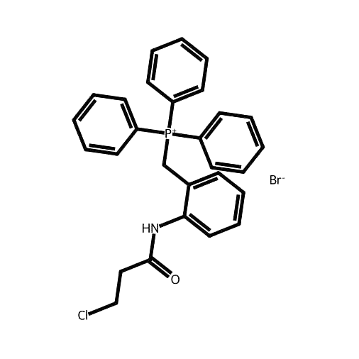 O=C(CCCl)Nc1ccccc1C[P+](c1ccccc1)(c1ccccc1)c1ccccc1.[Br-]